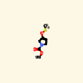 CC(C)(C)OC(=O)N1CC=C(OSC(F)(F)F)C1